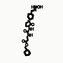 O=C(NCCC(=O)OCc1ccccc1)N[C@H]1CCN(c2ccc(C=NNO)cc2)C1=O